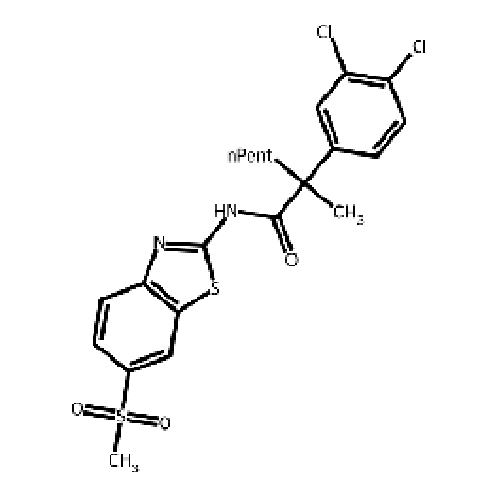 CCCCCC(C)(C(=O)Nc1nc2ccc(S(C)(=O)=O)cc2s1)c1ccc(Cl)c(Cl)c1